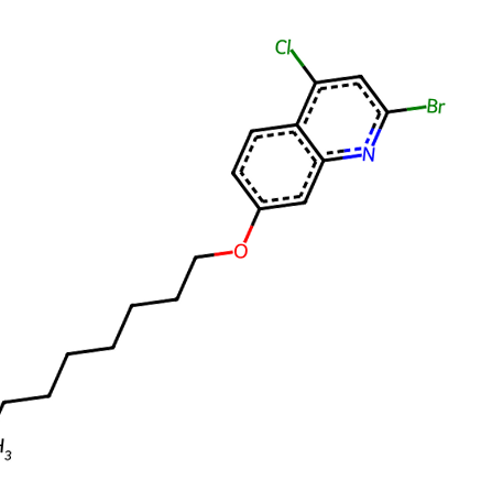 CCCCCCCCOc1ccc2c(Cl)cc(Br)nc2c1